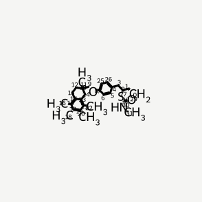 C=CC(Cc1ccc(OCC2(C)CCc3c(C)c(C)c(C)c(C)c3C2)cc1)SC(=O)NC